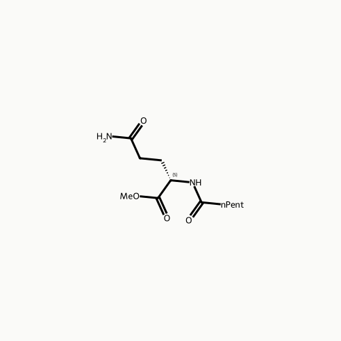 CCCCCC(=O)N[C@@H](CCC(N)=O)C(=O)OC